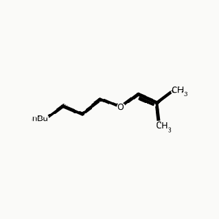 CCCCCCCOC=C(C)C